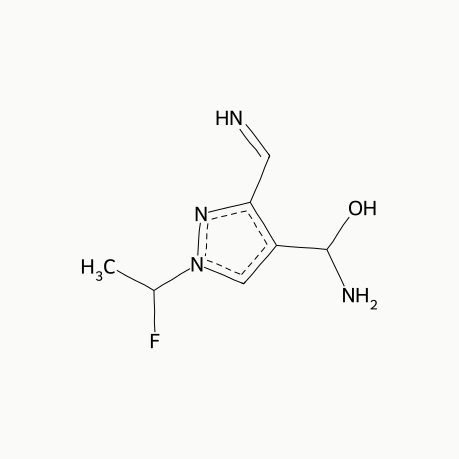 CC(F)n1cc(C(N)O)c(C=N)n1